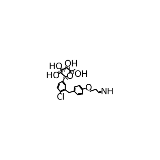 N=CCCOc1ccc(Cc2cc([C@@H]3O[C@H](CO)[C@@H](O)[C@H](O)[C@H]3O)ccc2Cl)cc1